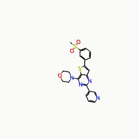 CS(=O)(=O)c1cccc(-c2cc3nc(-c4cccnc4)nc(N4CCOCC4)c3s2)c1